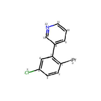 CC(C)c1ccc(Cl)cc1-c1cccnc1